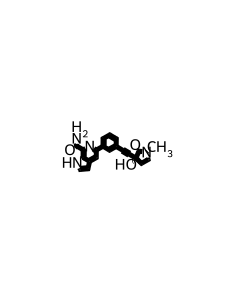 CN1CC[C@@](O)(C#Cc2cccc(-c3cc4cc[nH]c4c(C(N)=O)n3)c2)C1=O